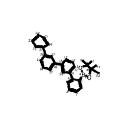 CC1(C)OB(c2ccccc2-c2cccc(-c3cccc(-c4ccccc4)c3)c2)OC1(C)C